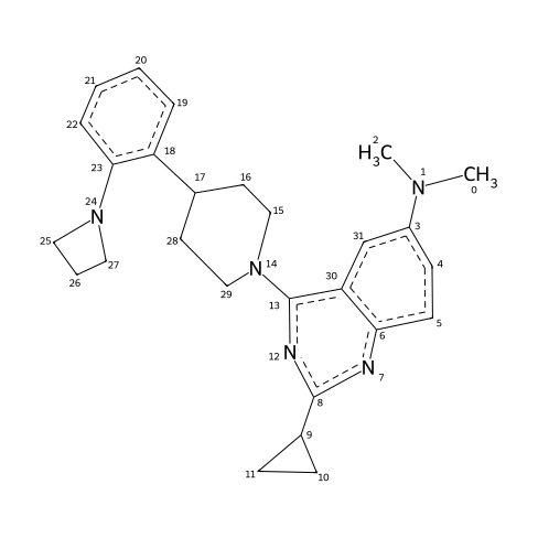 CN(C)c1ccc2nc(C3CC3)nc(N3CCC(c4ccccc4N4CCC4)CC3)c2c1